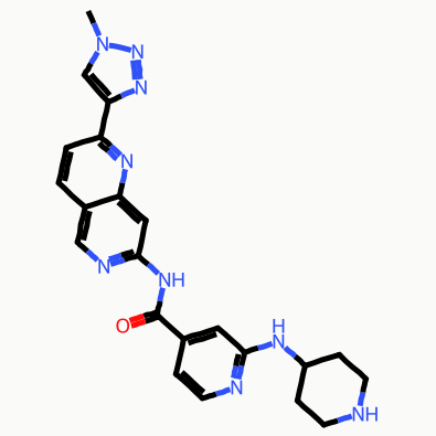 Cn1cc(-c2ccc3cnc(NC(=O)c4ccnc(NC5CCNCC5)c4)cc3n2)nn1